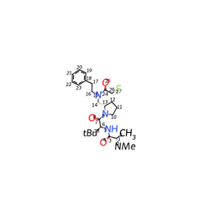 CN[C@@H](C)C(=O)N[C@H](C(=O)N1CCC[C@H]1CN(CCc1ccccc1)C(=O)CF)C(C)(C)C